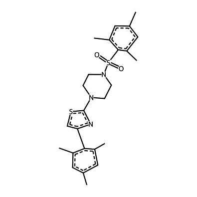 Cc1cc(C)c(-c2csc(N3CCN(S(=O)(=O)c4c(C)cc(C)cc4C)CC3)n2)c(C)c1